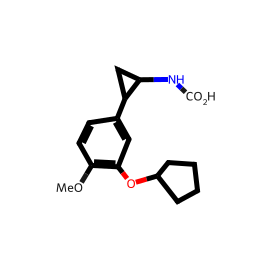 COc1ccc(C2CC2NC(=O)O)cc1OC1CCCC1